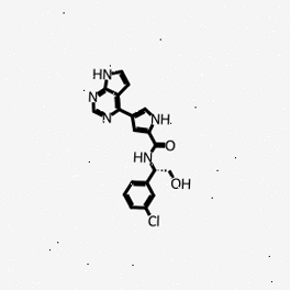 O=C(N[C@H](CO)c1cccc(Cl)c1)c1cc(-c2ncnc3[nH]ccc23)c[nH]1